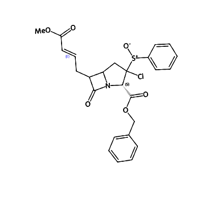 COC(=O)/C=C/CC1C(=O)N2C1CC(Cl)([S+]([O-])c1ccccc1)[C@@H]2C(=O)OCc1ccccc1